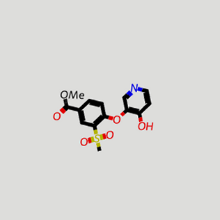 COC(=O)c1ccc(Oc2cnccc2O)c(S(C)(=O)=O)c1